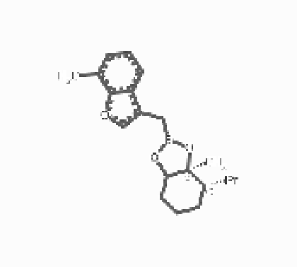 Cc1cccc2c(CB3OC4CCC[C@@H](C(C)C)[C@]4(C)O3)coc12